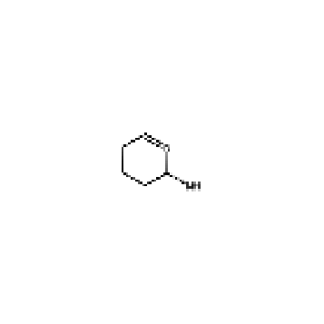 [NH]C1CCCC=N1